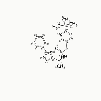 CC(NC(=O)Cc1ccc(C(C)(C)C)cc1)c1cnc(-c2ccccc2)s1